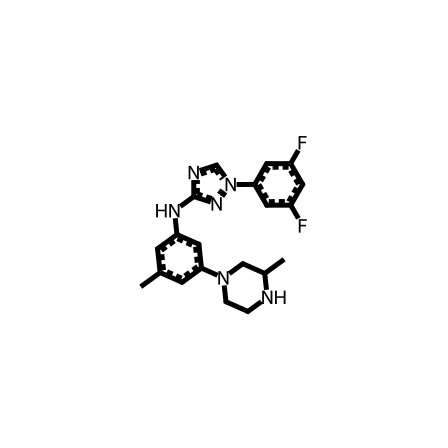 Cc1cc(Nc2ncn(-c3cc(F)cc(F)c3)n2)cc(N2CCNC(C)C2)c1